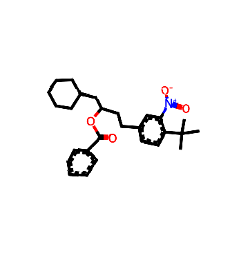 CC(C)(C)c1ccc(CCC(CC2CCCCC2)OC(=O)c2ccccc2)cc1[N+](=O)[O-]